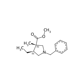 CC[C@@H]1CN(Cc2ccccc2)C[C@@]1(C)C(=O)OC